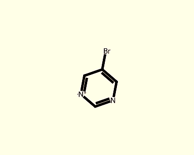 BrC1=CN=C[N+]=C1